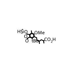 COc1c(C)c2c(c(C(C)(C)C)c1CC=C(C)CC(C)C(=O)O)C(=O)OC2O[SiH](C)C